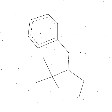 CCC(Cc1ccccc1)C(C)(C)C